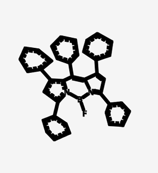 FB1n2c(-c3ccccc3)cc(-c3ccccc3)c2C(c2ccccc2)=C2C(c3ccccc3)=CC(c3ccccc3)=[N+]12